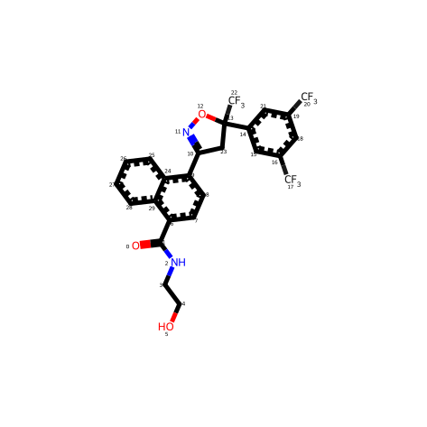 O=C(NCCO)c1ccc(C2=NOC(c3cc(C(F)(F)F)cc(C(F)(F)F)c3)(C(F)(F)F)C2)c2ccccc12